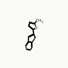 Cc1ccc(C2=Cc3ccccc3[CH]2)o1